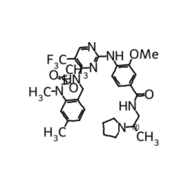 COc1cc(C(=O)NC[C@@H](C)N2CCCC2)ccc1Nc1ncc(C(F)(F)F)c(NCc2ccc(C)cc2N(C)S(C)(=O)=O)n1